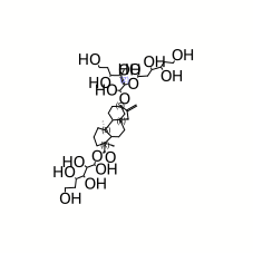 C=C1C[C@@]23CCC4[C@@](C)(CCC[C@@]4(C)C(=O)OC(O)C(O)C(O)C(O)CCO)C2CC[C@]1(OC(O)/C(OC(O)CC(O)C(O)CCO)=C(/O)C(O)CCO)C3